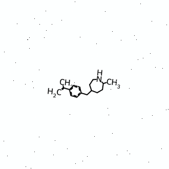 C=C(C)c1ccc(CC2CCNC(C)CC2)cc1